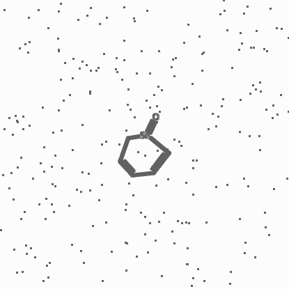 O=[Se]1C=CC=CC1